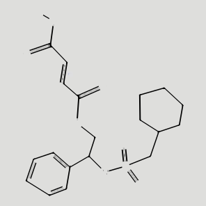 CC(C)OC(=O)/C=C/C(=O)OCC(NS(=O)(=O)CC1CCCCC1)c1ccccc1